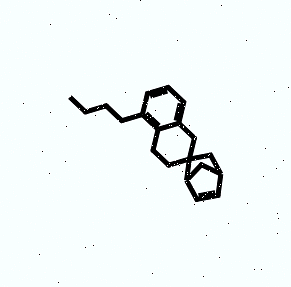 CCCCc1cccc2c1CCC1(C2)CC2C=CC1C2